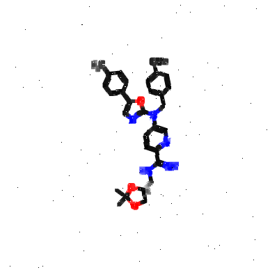 COc1ccc(CN(c2ccc(C(=N)NC[C@@H]3COC(C)(C)O3)nc2)c2ncc(-c3ccc(C(F)(F)F)cc3)o2)cc1